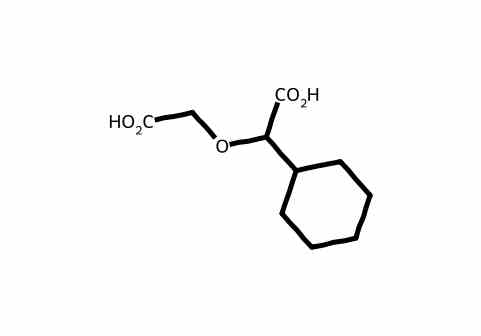 O=C(O)COC(C(=O)O)C1CCCCC1